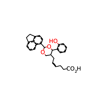 O=C(O)CC/C=C\CC1COC(c2ccc3c4c(cccc24)CC3)OC1c1ccccc1O